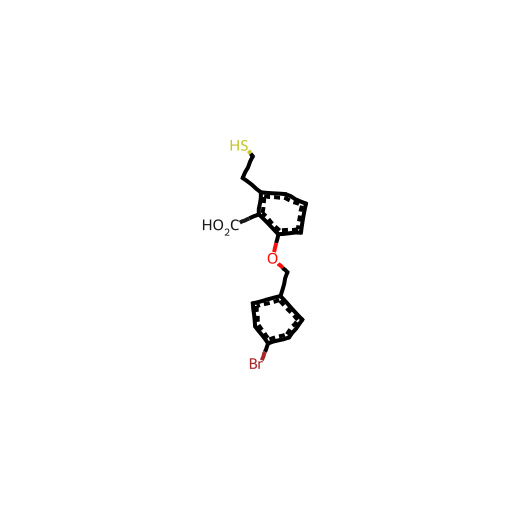 O=C(O)c1c(CCS)cccc1OCc1ccc(Br)cc1